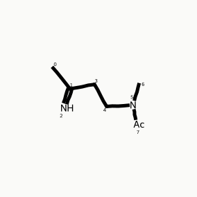 CC(=N)CCN(C)C(C)=O